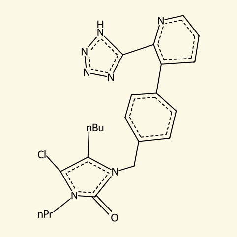 CCCCc1c(Cl)n(CCC)c(=O)n1Cc1ccc(-c2cccnc2-c2nnn[nH]2)cc1